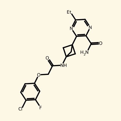 CCc1cnc(C(N)=O)c(C23CC(NC(=O)COc4ccc(Cl)c(F)c4)(C2)C3)n1